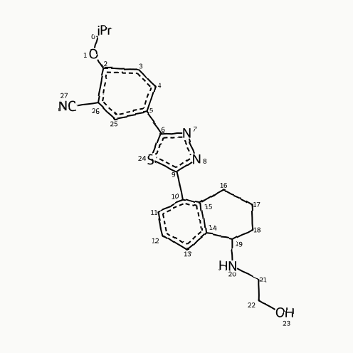 CC(C)Oc1ccc(-c2nnc(-c3cccc4c3CCCC4NCCO)s2)cc1C#N